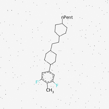 CCCCCC1CCC(CCC2CCC(c3cc(F)c(C)c(F)c3)CC2)CC1